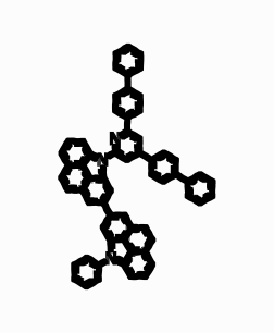 c1ccc(-c2ccc(-c3cc(-c4ccc(-c5ccccc5)cc4)nc(-n4c5cccc6ccc7cc(-c8cc9ccc%10cccc%11c%10c9c(c8)n%11-c8ccccc8)cc4c7c65)c3)cc2)cc1